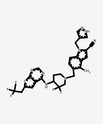 Cc1c(CN2CCC(Nc3ncnc4sc(CC(F)(F)F)cc34)C(F)(F)C2)ccc2c1cc(C#N)n2Cc1cn[nH]c1